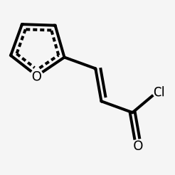 O=C(Cl)C=Cc1ccco1